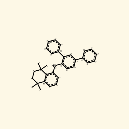 CC1(C)CCC(C)(C)c2c(Nc3ccc(-c4ccccc4)cc3-c3ccccc3)cccc21